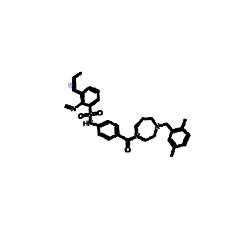 C=Nc1c(/C=C\C)cccc1S(=O)(=O)Nc1ccc(C(=O)N2CCCN(Cc3cc(C)ccc3C)CC2)cc1